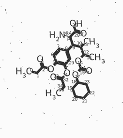 CCC(=O)Oc1ccc(C(C(C)C(C)OC(=O)OC2CCCCC2)[C@H](N)C(=O)O)cc1OC(=O)CC